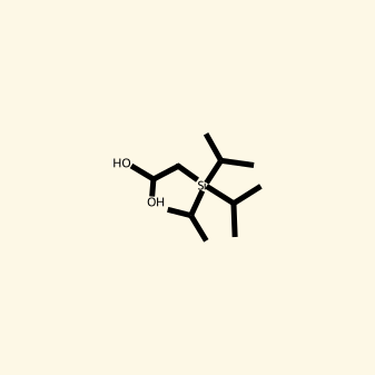 CC(C)[Si](CC(O)O)(C(C)C)C(C)C